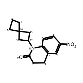 O=C1CCc2cc([N+](=O)[O-])ccc2N1C1CC2(CCC2)C1